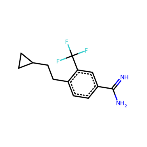 N=C(N)c1ccc(CCC2CC2)c(C(F)(F)F)c1